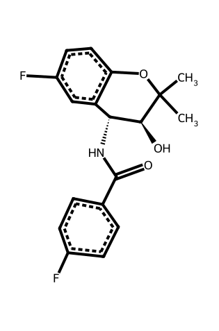 CC1(C)Oc2ccc(F)cc2[C@@H](NC(=O)c2ccc(F)cc2)[C@@H]1O